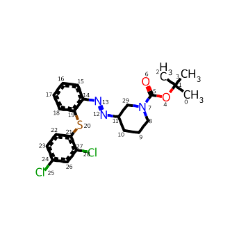 CC(C)(C)OC(=O)N1CCCC(N=Nc2ccccc2Sc2ccc(Cl)cc2Cl)C1